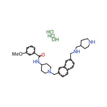 COc1cccc(C(=O)NC2CCN(Cc3ccc4ccc(CNCC5CCNCC5)cc4c3)CC2)c1.Cl.Cl.Cl